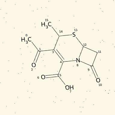 CC(=O)C1=C(C(=O)O)N2C(=O)CC2SC1C